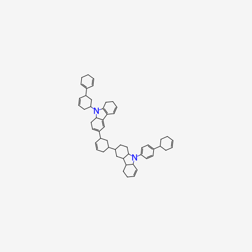 C1=CC(C2C=CCC(N3C4=C(C=CCC4)C4=CC(C5C=CCC(C6CCC7C(C6)C6CCC=CC6N7c6ccc(C7CC=CCC7)cc6)C5)=CCC43)C2)=CCC1